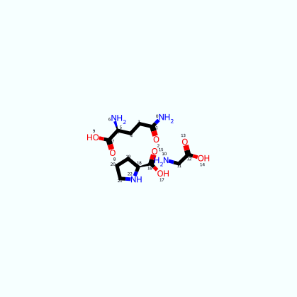 NC(=O)CC[C@H](N)C(=O)O.NCC(=O)O.O=C(O)[C@@H]1CCCN1